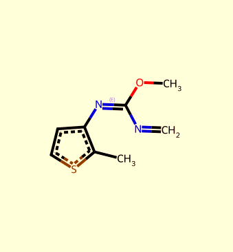 C=N/C(=N\c1ccsc1C)OC